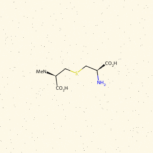 CN[C@@H](CSC[C@H](N)C(=O)O)C(=O)O